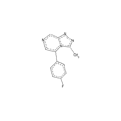 Cc1nnc2cncc(-c3ccc(F)cc3)n12